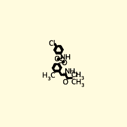 Cc1ccc(S(=O)(=O)Nc2ccc(Cl)cc2)cc1C[C@H](N)C(=O)C(C)C